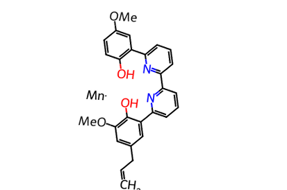 C=CCc1cc(OC)c(O)c(-c2cccc(-c3cccc(-c4cc(OC)ccc4O)n3)n2)c1.[Mn]